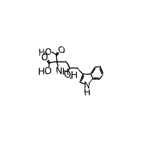 NC(CC(O)Cc1c[nH]c2ccccc12)(C(=O)O)C(=O)O